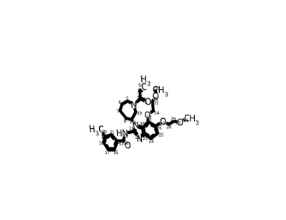 C=CC(=O)N1CCCCC(n2c(NC(=O)c3cccc(C)c3)nc3ccc(OCCOC)c(OCCOC)c32)C1